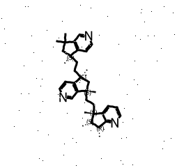 C[C@H]1c2ncccc2[C@@](C)(CC[C@@]2(C)C[C@](C)(CC[C@@]3(C)CC(C)(C)c4cnccc43)c3ccncc32)[C@H]1C